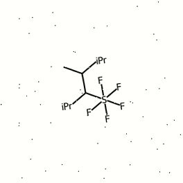 CC(C)C(C)C(C(C)C)S(F)(F)(F)(F)F